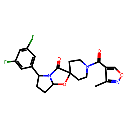 Cc1nocc1C(=O)N1CCC2(CC1)OC1CCC(c3cc(F)cc(F)c3)N1C2=O